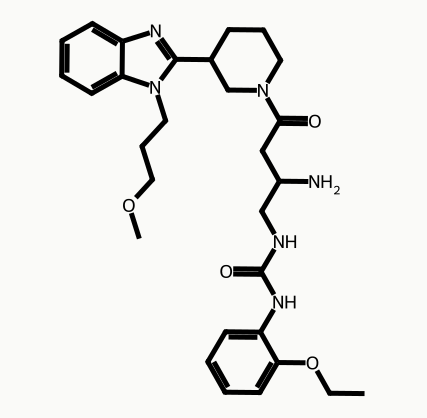 CCOc1ccccc1NC(=O)NCC(N)CC(=O)N1CCCC(c2nc3ccccc3n2CCCOC)C1